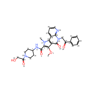 COc1c(C(=O)NC2CCN(C(=O)CO)CC2)n(C)c2c1c(=O)n(CC(=O)c1ccccc1)c1ncccc21